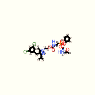 CC(=O)[C@H](C)NCOP(=O)(CCNC(=O)OCCn1nc(C(C)C)c(Cc2cc(Cl)cc(Cl)c2)c1C)Oc1ccccc1